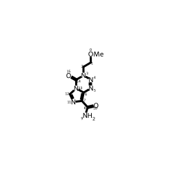 COCCn1nnc2c(C(N)=O)ncn2c1=O